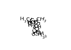 CC1=CC[C@H]([C@@H](C)C2CC[C@@]3(C)[C@@H]4CC[C@H]5C(C)(C)C(=O)CC[C@@]56C[C@@]46CC[C@]23C)OC1=O